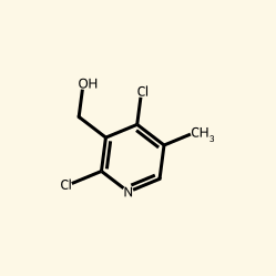 Cc1cnc(Cl)c(CO)c1Cl